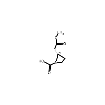 COC(=O)C[C@@H]1CCN1C(=O)O